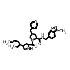 C=C/C=C\C(=C/C)C1CNC(C(=O)N2CC(Cc3ccncc3)CC2C(=O)NCc2ccc3c(c2)nnn3C)C1